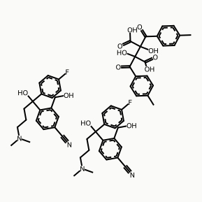 CN(C)CCCC(O)(c1ccc(F)cc1)c1ccc(C#N)cc1CO.CN(C)CCCC(O)(c1ccc(F)cc1)c1ccc(C#N)cc1CO.Cc1ccc(C(=O)C(O)(C(=O)O)C(O)(C(=O)O)C(=O)c2ccc(C)cc2)cc1